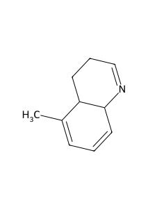 CC1=CC=CC2N=CCCC12